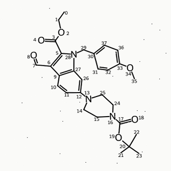 CCOC(=O)c1c(C=O)c2ccc(N3CCN(C(=O)OC(C)(C)C)CC3)cc2n1Cc1ccc(OC)cc1